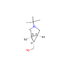 CC(C)(C)N1C[C@@H]2[C@@H](CO)[C@@H]2C1